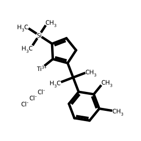 Cc1cccc(C(C)(C)C2=[C]([Ti+3])C([Si](C)(C)C)=CC2)c1C.[Cl-].[Cl-].[Cl-]